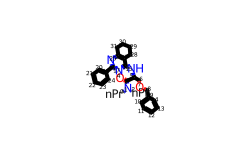 CCCN(CCC)C(=O)C(COCc1ccccc1)Nc1nc(-c2ccccc2)nc2c1CCCC2